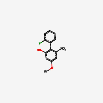 CC(C)Oc1cc(O)c(-c2ccccc2F)c([N+](=O)[O-])c1